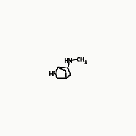 CNC1CC2CNC1C2